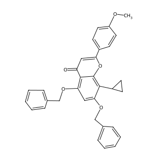 COc1ccc(-c2cc(=O)c3c(OCc4ccccc4)cc(OCc4ccccc4)c(C4CC4)c3o2)cc1